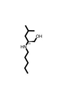 CCCCCN[C@H](CO)CC(C)C